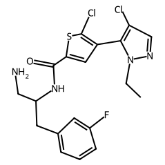 CCn1ncc(Cl)c1-c1cc(C(=O)NC(CN)Cc2cccc(F)c2)sc1Cl